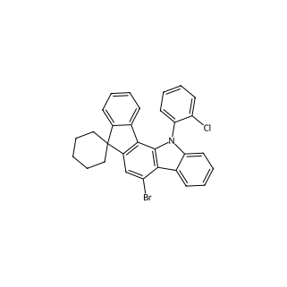 Clc1ccccc1-n1c2ccccc2c2c(Br)cc3c(c21)-c1ccccc1C31CCCCC1